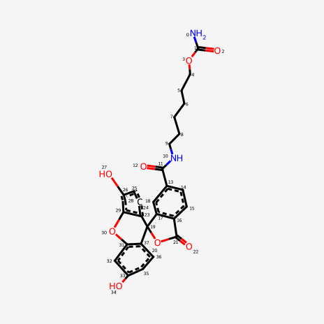 NC(=O)OCCCCCCNC(=O)c1ccc2c(c1)C1(OC2=O)c2ccc(O)cc2Oc2cc(O)ccc21